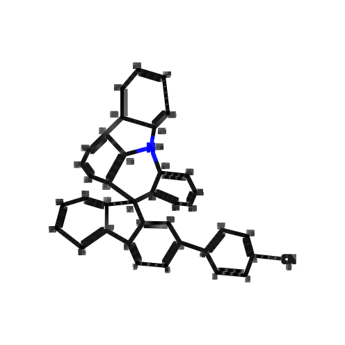 N#Cc1ccc(-c2ccc3c(c2)C2(c4ccccc4-3)c3ccccc3-n3c4ccccc4c4cccc2c43)cc1